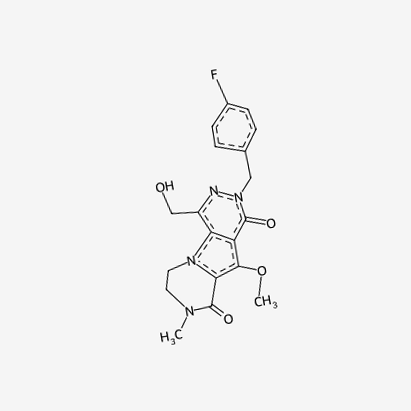 COc1c2n(c3c(CO)nn(Cc4ccc(F)cc4)c(=O)c13)CCN(C)C2=O